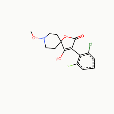 CON1CCC2(CC1)OC(=O)C(c1c(F)cccc1Cl)=C2O